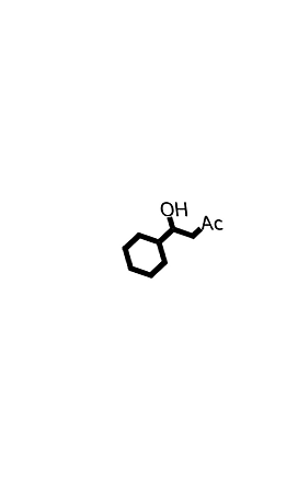 CC(=O)CC(O)C1CCCCC1